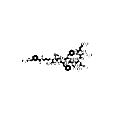 CC(C)C[C@H](NC(=O)[C@H](Cc1ccccc1)NC(=O)[C@H](Cc1ccccc1)NC(=O)[C@H](CCC(=O)O)NC(=O)[C@H](CC(N)=O)NC(=O)[C@H](CC(=O)O)NC(=O)[C@@H](N)CCC(=O)O)C(=O)N[C@@H](CCCCNC(=O)c1cccc(CON)c1)C(N)=O